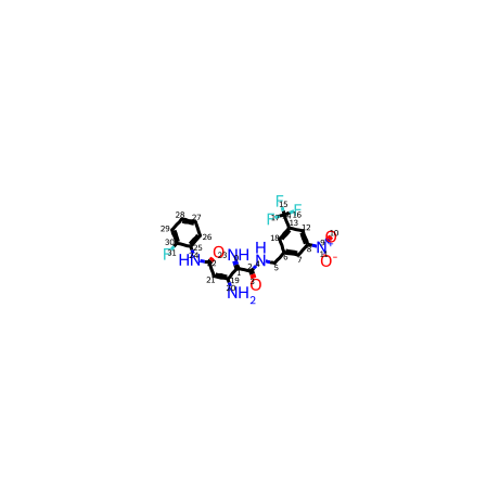 N=C(C(=O)NCc1cc([N+](=O)[O-])cc(C(F)(F)F)c1)/C(N)=C\C(=O)Nc1ccccc1F